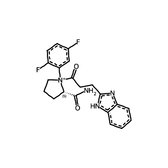 NC(=O)[C@@H]1CCC[N+]1(C(=O)CCc1nc2ccccc2[nH]1)c1cc(F)ccc1F